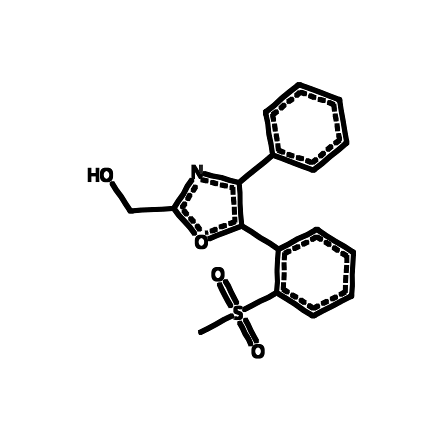 CS(=O)(=O)c1ccccc1-c1oc(CO)nc1-c1ccccc1